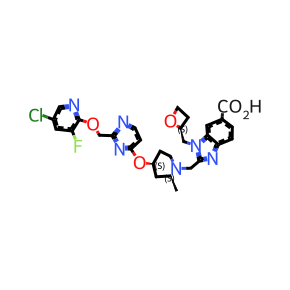 C[C@H]1C[C@@H](Oc2ccnc(COc3ncc(Cl)cc3F)n2)CCN1Cc1nc2ccc(C(=O)O)cc2n1C[C@@H]1CCO1